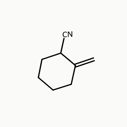 C=C1CCCCC1C#N